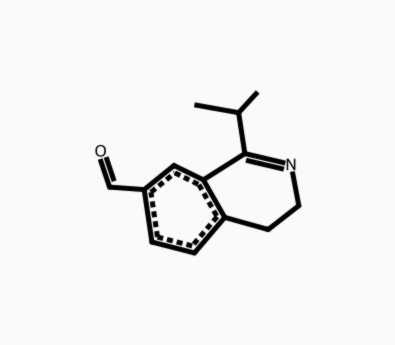 CC(C)C1=NCCc2ccc(C=O)cc21